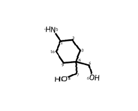 [NH]C1CCC(CO)(CO)CC1